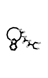 CC(C)CC(CS)C(=O)NC(=O)N[C@H]1Cc2cn(c3ccccc23)CCCCCCNC1=O